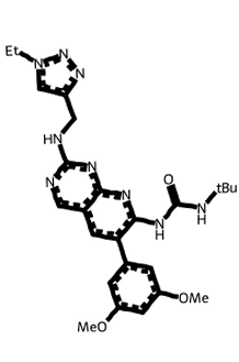 CCn1cc(CNc2ncc3cc(-c4cc(OC)cc(OC)c4)c(NC(=O)NC(C)(C)C)nc3n2)nn1